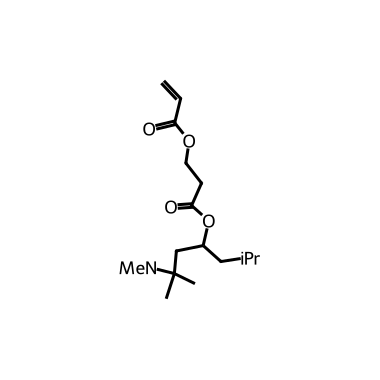 C=CC(=O)OCCC(=O)OC(CC(C)C)CC(C)(C)NC